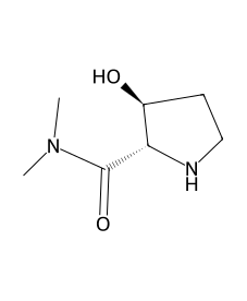 CN(C)C(=O)[C@H]1NCC[C@@H]1O